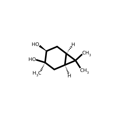 CC1(C)[C@@H]2C[C@H](O)[C@](C)(O)C[C@@H]21